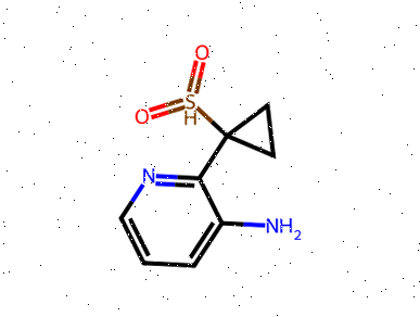 Nc1cccnc1C1([SH](=O)=O)CC1